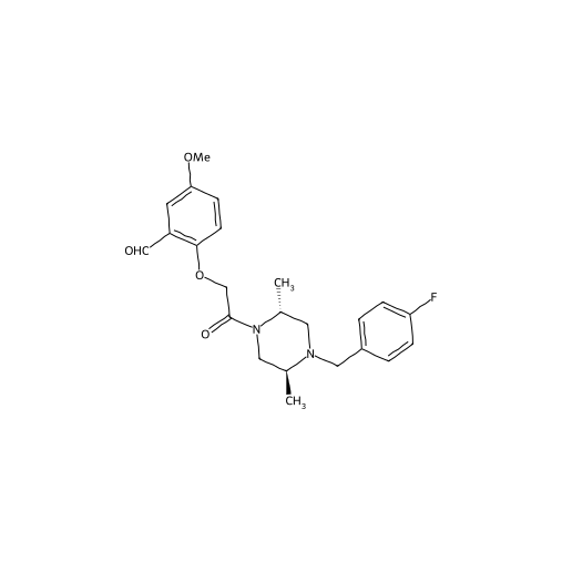 COc1ccc(OCC(=O)N2C[C@H](C)N(Cc3ccc(F)cc3)C[C@H]2C)c(C=O)c1